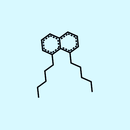 CCCCCc1cccc2cccc(CCCCC)c12